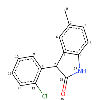 Cc1ccc2c(c1)C(c1ccccc1Cl)C(=O)N2